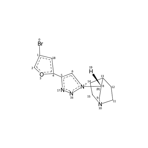 Brc1coc(-c2cn([C@H]3CN4CCC3CC4)nn2)c1